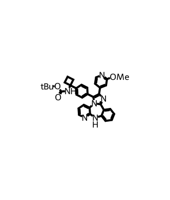 COc1cc(-c2nc3n(c2-c2ccc(C4(NC(=O)OC(C)(C)C)CCC4)cc2)-c2cccnc2Nc2ccccc2-3)ccn1